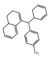 Cc1ccc(N(C2=CCCC3CC=CC=C23)C2C=CC=CC2)cc1